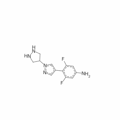 Nc1cc(F)c(-c2cnn(C3CNNC3)c2)c(F)c1